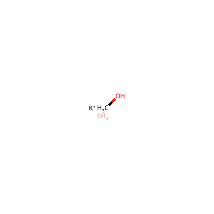 CO.[BH4-].[K+]